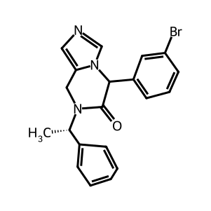 C[C@@H](c1ccccc1)N1Cc2cncn2C(c2cccc(Br)c2)C1=O